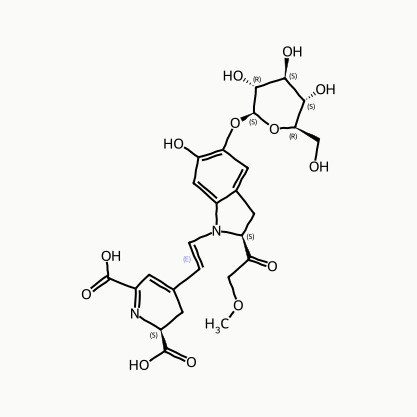 COCC(=O)[C@@H]1Cc2cc(O[C@@H]3O[C@H](CO)[C@@H](O)[C@H](O)[C@H]3O)c(O)cc2N1/C=C/C1=CC(C(=O)O)=N[C@H](C(=O)O)C1